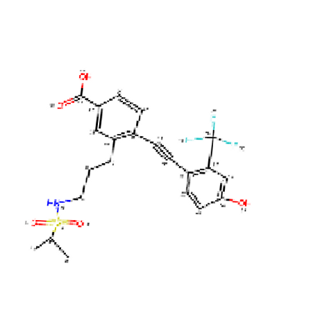 CC(C)S(=O)(=O)NCCCc1cc(C(=O)O)ccc1C#Cc1ccc(O)cc1C(F)(F)F